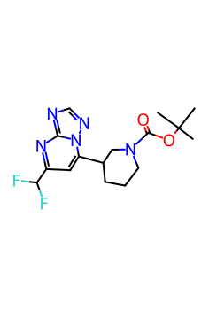 CC(C)(C)OC(=O)N1CCCC(c2cc(C(F)F)nc3ncnn23)C1